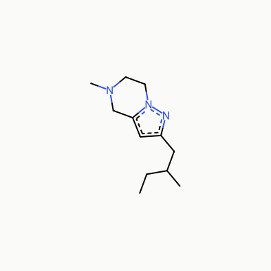 CCC(C)Cc1cc2n(n1)CCN(C)C2